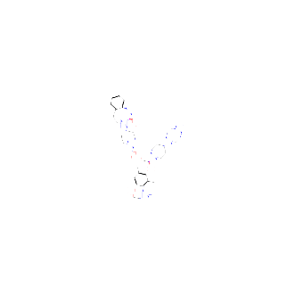 Cc1cc(C[C@@H](OC(=O)N2CCC(N3CCc4ccccc4NC3=O)CC2)C(=O)N2CCC(N3CCN(C)CC3)CC2)cc2c1N(C)CCO2